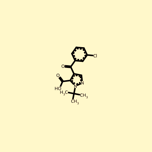 CC(C)(C)n1ncc(C(=O)c2cccc(Cl)c2)c1C(=O)O